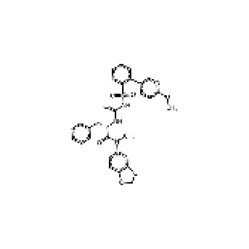 COc1ccc(-c2ccccc2S(=O)(=O)NC(=O)N[C@@H](Cc2ccccc2)C(=O)N(C)c2ccc3c(c2)OCO3)cn1